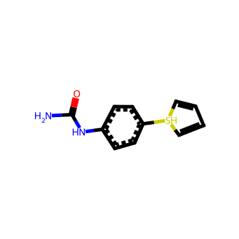 NC(=O)Nc1ccc([SH]2C=CC=C2)cc1